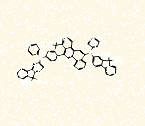 CC1(C)c2ccccc2-c2cc(N(c3ccccc3)c3ccc4c(c3)C(C)(C)c3cccc5c3c-4cc3c4ccccc4c(N(c4ccccc4)c4ccc6c(c4)C(C)(C)c4ccccc4-6)cc53)ccc21